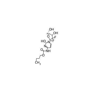 CCCCOC(=O)NC1=NC(O)N([C@@H]2O[C@H](CO)C(O)C2(F)F)C=C1